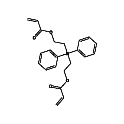 C=CC(=O)OCC[Si](CCOC(=O)C=C)(c1ccccc1)c1ccccc1